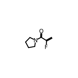 C=C(F)C(=O)N1CCCC1